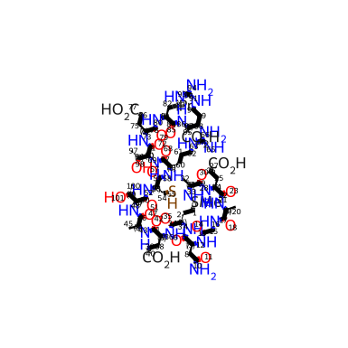 CSCC[C@H](NC(=O)[C@H](CC(N)=O)NC(=O)CNC(=O)[C@H](C)NC(=O)[C@H](CCC(=O)O)NC(=O)[C@H](C)N)C(=O)N[C@@H](CCC(=O)O)C(=O)N[C@@H](C)C(=O)N[C@H](C(=O)N[C@@H](CS)C(=O)N[C@@H](CCCNC(=N)N)C(=O)N[C@H](C(=O)N[C@@H](CCC(=O)O)C(=O)N[C@@H](CC(C)C)C(=O)N[C@@H](CCCNC(=N)N)C(=O)O)[C@@H](C)O)[C@@H](C)O